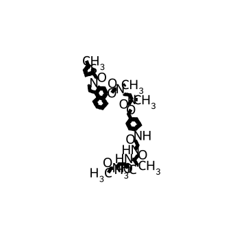 CC(=O)NCC(=O)NC(C(=O)NCC(=O)Nc1ccc(COC(=O)N(C)CCN(C)C(=O)Oc2cc3c(c4ccccc24)CCN3C(=O)c2ccc(C)s2)cc1)C(C)C